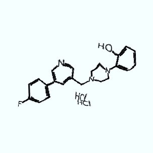 Cl.Cl.Oc1ccccc1N1CCN(Cc2cncc(-c3ccc(F)cc3)c2)CC1